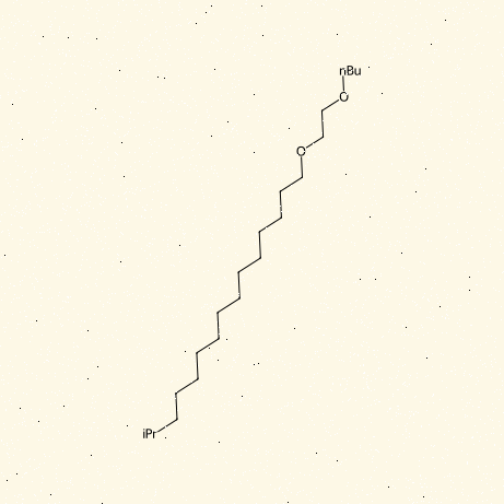 CCCCOCCOCCCCCCCCCCCCCC(C)C